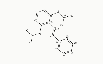 CC(C)Cc1cccc(CC(C)C)c1N=Cc1ccccn1